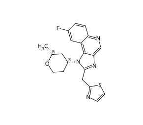 C[C@@H]1C[C@H](n2c(Cc3nccs3)nc3cnc4ccc(F)cc4c32)CCO1